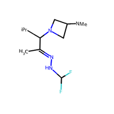 CNC1CN(C(C(C)=NNC(F)F)C(C)C)C1